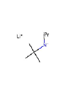 CC(C)[N-]C(C)(C)C.[Li+]